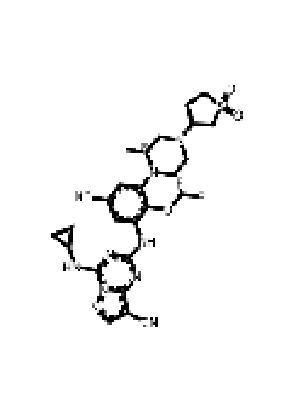 C[C@H]1CN(C2CCS(=O)(=O)C2)CCN1c1cc(C#N)cc(Nc2nc(NC3CC3)n3ncc(C#N)c3n2)c1OC(F)F